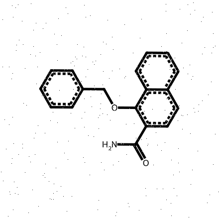 NC(=O)c1ccc2ccccc2c1OCc1ccccc1